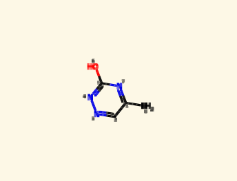 Bc1cnnc(O)n1